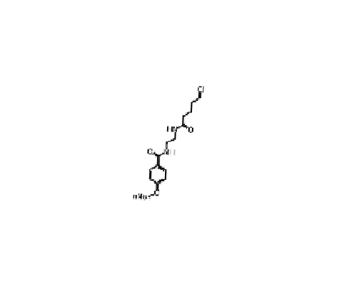 CCCCCCCCCOc1ccc(C(=O)NCCNC(=O)CCCCCl)cc1